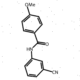 COc1ccc(C(=O)Nc2cccc(C#N)c2)cc1